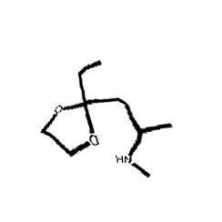 CCC1(CC(C)NC)OCCO1